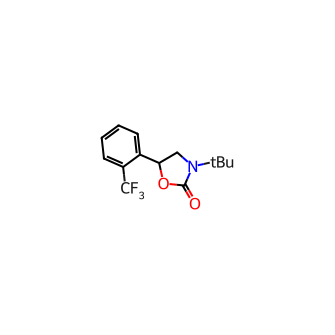 CC(C)(C)N1CC(c2ccccc2C(F)(F)F)OC1=O